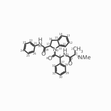 CN[C@@H](C)C(=O)NC(C(=O)N1c2ccccc2CC1C(=O)Nc1ccccc1)c1ccccc1